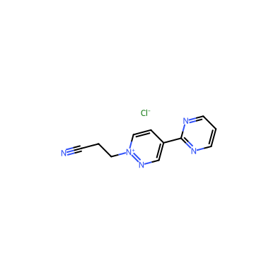 N#CCC[n+]1ccc(-c2ncccn2)cn1.[Cl-]